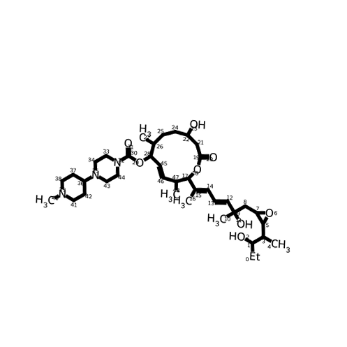 CCC(O)C(C)C1OC1CC(C)(O)/C=C/C=C(\C)C1OC(=O)CC(O)CCC(C)C(OC(=O)N2CCN(C3CCN(C)CC3)CC2)/C=C/C1C